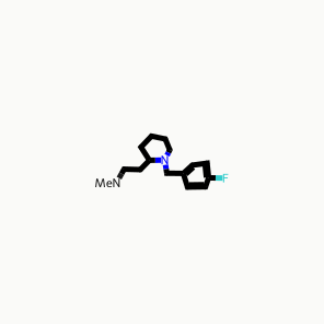 CNCCC1CCCCN1Cc1ccc(F)cc1